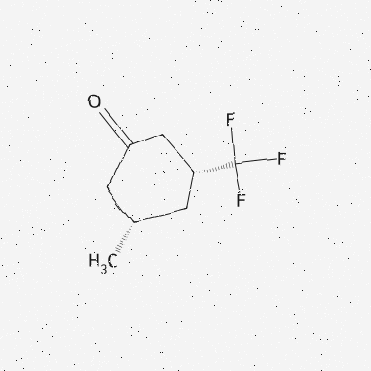 C[C@@H]1CC(=O)C[C@H](C(F)(F)F)C1